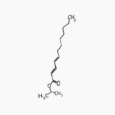 CCCCCCCC=CC=CC(=O)OC(C)C